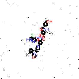 CC(C)c1ccccc1[C@@H]1COCCN1C1CC2(CCN(c3ccc(C(=O)NS(=O)(=O)c4cc5c(c([N+](=O)[O-])c4)N[C@@H](C4CCC(C)(O)CC4)CO5)c(Oc4cnc5[nH]cc(Cl)c5c4)c3)CC2)C1